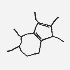 CC1=C(C)C(C)C2=C1C(C)C(C)[C]C2